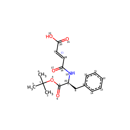 CC(C)(C)OC(=O)[C@H](Cc1ccccc1)NC(=O)/C=C/C(=O)O